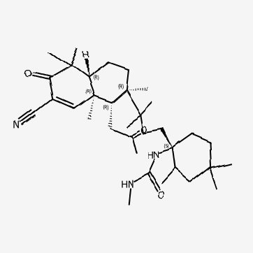 CNC(=O)N[C@]1(CCC(C)(C)[C@]2(C)CC[C@H]3C(C)(C)C(=O)C(C#N)=C[C@]3(C)[C@H]2CC(C)=O)CCC(C)(C)CC1C